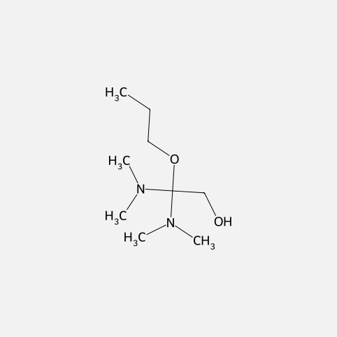 CCCOC(CO)(N(C)C)N(C)C